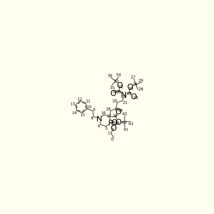 CCOP1(=O)CCN(CCc2ccccc2)CC1(CCCCN(C(=O)OC(C)(C)C)C(=O)OC(C)(C)C)C(=O)OC(C)(C)C